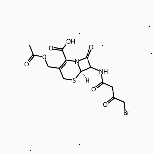 CC(=O)OCC1=C(C(=O)O)N2C(=O)C(NC(=O)CC(=O)CBr)[C@H]2SC1